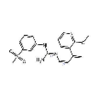 C=C(/C=C\N=C(/N)Nc1cccc(S(C)(=O)=O)c1)c1cccnc1OC